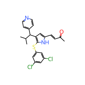 CC(=O)C=Cc1cc(C(c2ccncc2)C(C)C)c(Sc2cc(Cl)cc(Cl)c2)[nH]1